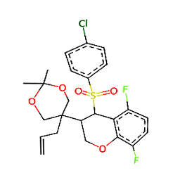 C=CCC1(C2COc3c(F)ccc(F)c3C2S(=O)(=O)c2ccc(Cl)cc2)COC(C)(C)OC1